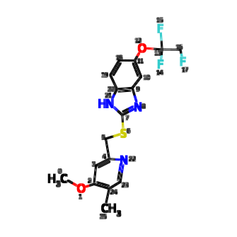 COc1cc(CSc2nc3cc(OC(F)(F)CF)ccc3[nH]2)ncc1C